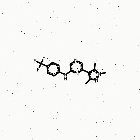 Cc1nn(C)c(C)c1-c1cncc(Nc2ccc(C(F)(F)F)cc2)n1